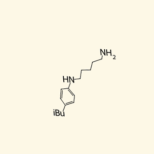 CCC(C)c1ccc(NCCCCCN)cc1